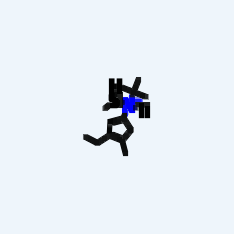 CCC1=C(C)CC([N+]([Ti])([SiH](C)C)C(C)(C)C)=C1